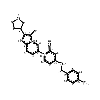 Cc1c(C2CCOC2)nc2ccc(-n3ccc(OCc4ccc(F)cc4)cc3=O)cn12